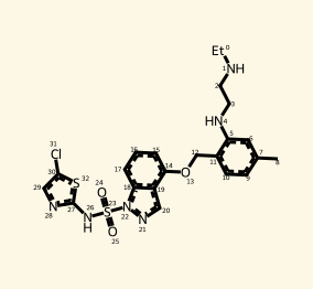 CCNCCNc1cc(C)ccc1COc1cccc2c1cnn2S(=O)(=O)Nc1ncc(Cl)s1